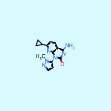 Cn1nccc1-n1c(=O)nc(N)c2ccc(C3CC3)nc21